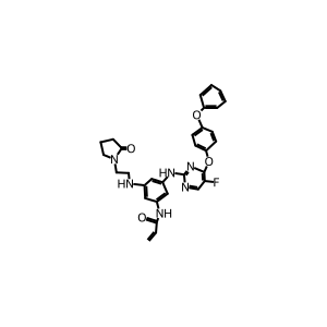 C=CC(=O)Nc1cc(NCCN2CCCC2=O)cc(Nc2ncc(F)c(Oc3ccc(Oc4ccccc4)cc3)n2)c1